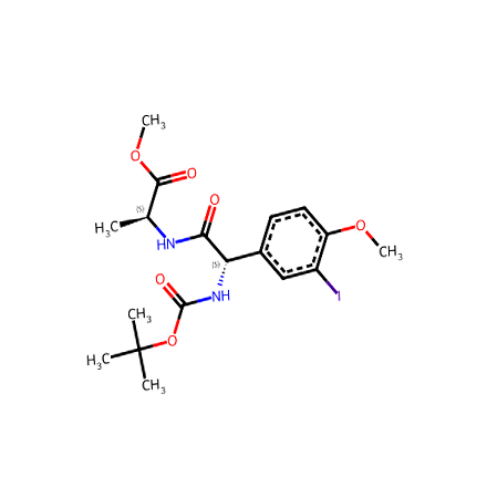 COC(=O)[C@H](C)NC(=O)[C@@H](NC(=O)OC(C)(C)C)c1ccc(OC)c(I)c1